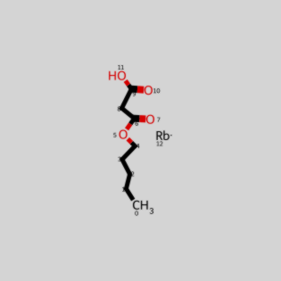 CCCCCOC(=O)CC(=O)O.[Rb]